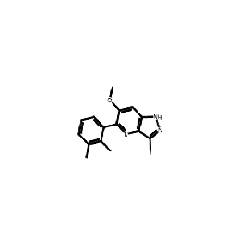 COc1cc2[nH]nc(I)c2nc1-c1cccc(C)c1C